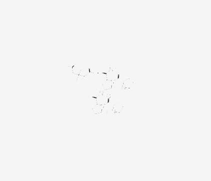 CC(C)(CC(=O)O)CC(=O)O.NC(=O)C1CCCN1C(=O)[C@@H]1CCCN1.NC(=O)C1CCCN1C(=O)[C@@H]1CCCN1